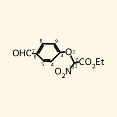 CCOC(=O)C(Oc1ccc(C=O)cc1)[N+](=O)[O-]